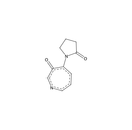 O=C1CCCN1c1cccn[c]c1=O